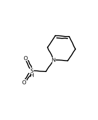 O=[SH](=O)CN1CC=CCC1